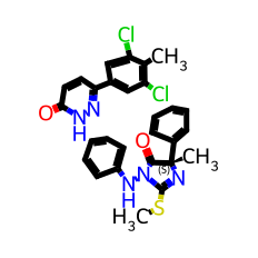 CSC1=N[C@@](C)(c2ccccc2)C(=O)N1Nc1ccccc1.Cc1c(Cl)cc(-c2ccc(=O)[nH]n2)cc1Cl